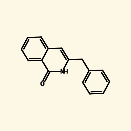 O=c1[nH]c(Cc2ccccc2)cc2ccccc12